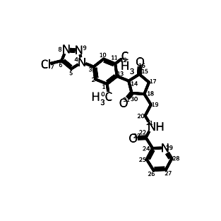 Cc1cc(-n2cc(Cl)nn2)cc(C)c1C1C(=O)CC(CCNC(=O)c2ccccn2)C1=O